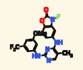 COc1cc(Nc2ncc(C)c(Nc3ccc4oc(=O)n(F)c4c3)n2)cc(C(F)(F)F)c1